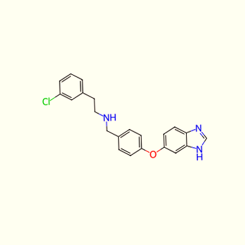 Clc1cccc(CCNCc2ccc(Oc3ccc4nc[nH]c4c3)cc2)c1